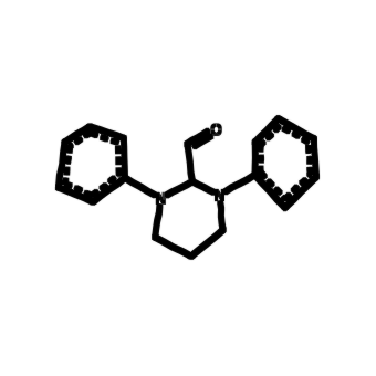 O=CC1N(c2ccccc2)CCCN1c1ccccc1